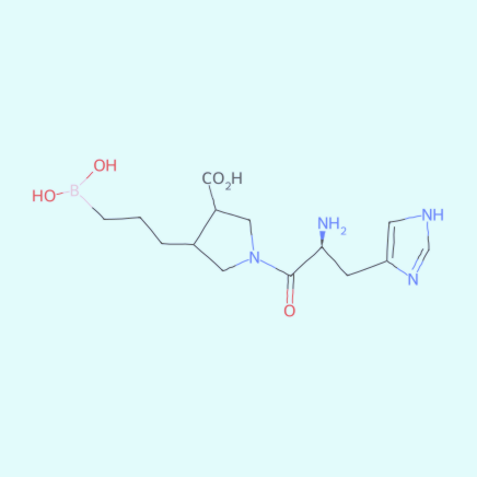 N[C@@H](Cc1c[nH]cn1)C(=O)N1CC(CCCB(O)O)C(C(=O)O)C1